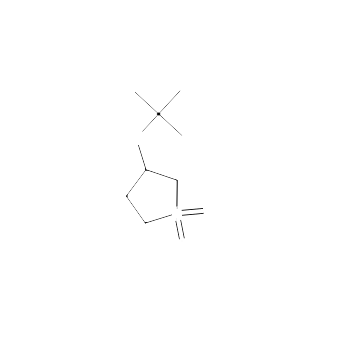 CC(C)(C)OC1CCS(=O)(=O)C1